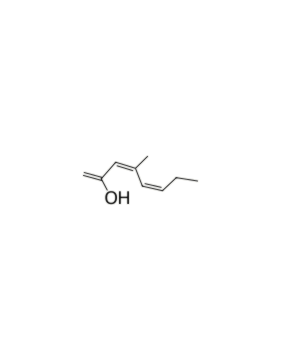 C=C(O)/C=C(C)\C=C/CC